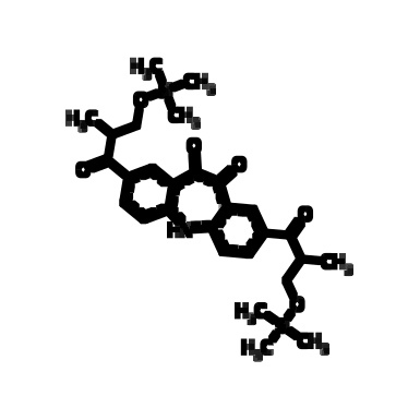 CC(CO[Si](C)(C)C)C(=O)c1ccc2[nH]c3ccc(C(=O)C(C)CO[Si](C)(C)C)cc3c(=O)c(=O)c2c1